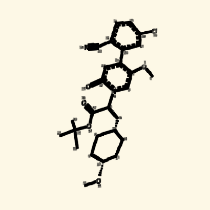 COc1cn(C(C[C@H]2CC[C@@H](OC)CC2)C(=O)OC(C)(C)C)c(=O)cc1-c1cc(Cl)ccc1C#N